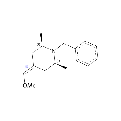 CO/C=C1/C[C@@H](C)N(Cc2ccccc2)[C@@H](C)C1